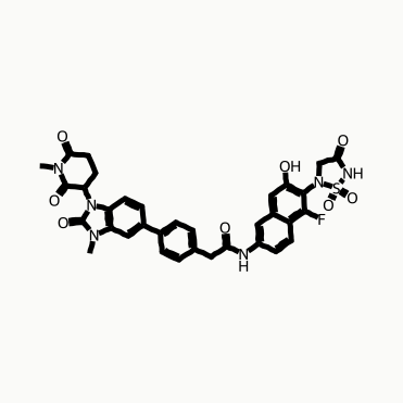 CN1C(=O)CCC(n2c(=O)n(C)c3cc(-c4ccc(CC(=O)Nc5ccc6c(F)c(N7CC(=O)NS7(=O)=O)c(O)cc6c5)cc4)ccc32)C1=O